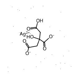 O=C([O-])CC(O)(CC(=O)O)C(=O)[O-].[Ag+2]